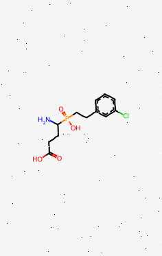 NC(CCC(=O)O)P(=O)(O)CCc1cccc(Cl)c1